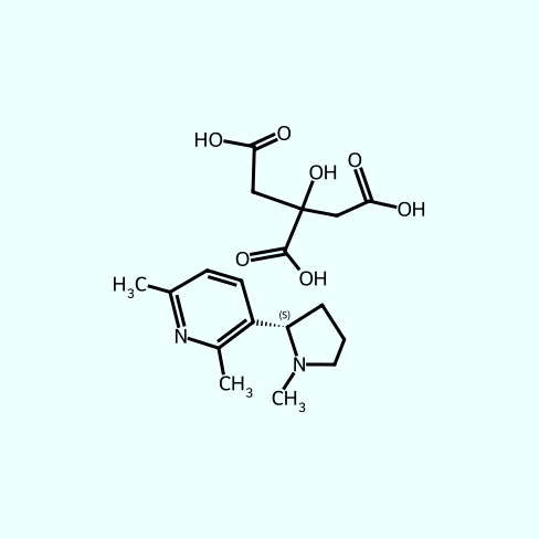 Cc1ccc([C@@H]2CCCN2C)c(C)n1.O=C(O)CC(O)(CC(=O)O)C(=O)O